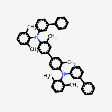 Cc1cc(-c2ccc(N(c3cccc(-c4ccccc4)c3)c3c(C)cccc3C)c(C)c2)ccc1N(c1cccc(-c2ccccc2)c1)c1c(C)cccc1C